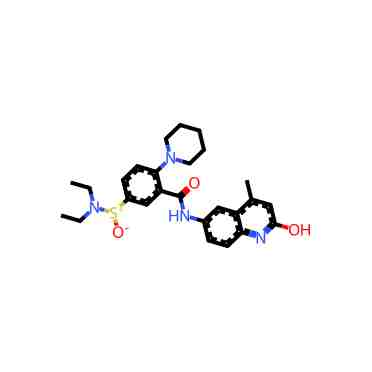 CCN(CC)[S+]([O-])c1ccc(N2CCCCC2)c(C(=O)Nc2ccc3nc(O)cc(C)c3c2)c1